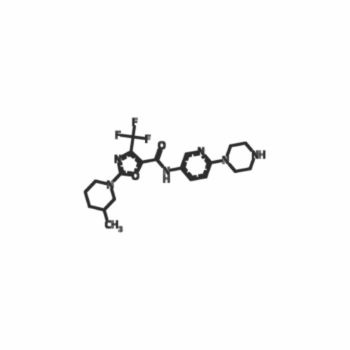 CC1CCCN(c2nc(C(F)(F)F)c(C(=O)Nc3ccc(N4CCNCC4)nc3)o2)C1